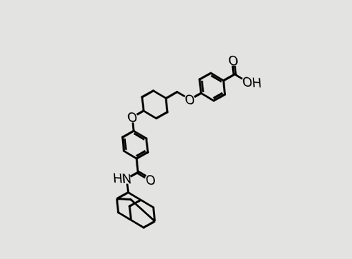 O=C(O)c1ccc(OCC2CCC(Oc3ccc(C(=O)NC4C5CC6CC(C5)CC4C6)cc3)CC2)cc1